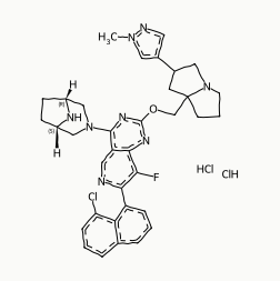 Cl.Cl.Cn1cc(C2CN3CCCC3(COc3nc(N4C[C@H]5CC[C@@H](C4)N5)c4cnc(-c5cccc6cccc(Cl)c56)c(F)c4n3)C2)cn1